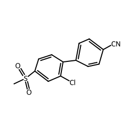 CS(=O)(=O)c1ccc(-c2ccc(C#N)cc2)c(Cl)c1